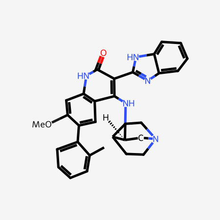 COc1cc2[nH]c(=O)c(-c3nc4ccccc4[nH]3)c(N[C@H]3CN4CCC3CC4)c2cc1-c1ccccc1C